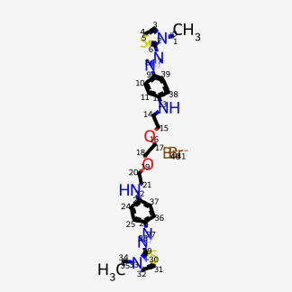 CC[n+]1ccsc1/N=N/c1ccc(NCCOCCOCCNc2ccc(/N=N/c3scc[n+]3CC)cc2)cc1.[Br-].[Br-]